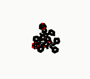 Cc1cc2c(cc1[Si](Cc1ccccc1)(Cc1ccccc1)Cc1ccccc1)-c1cc([Si](Cc3ccccc3)(Cc3ccccc3)Cc3ccccc3)c(C)cc1[Si](c1ccccc1)(c1ccccc1)[Si]2(c1ccccc1)c1ccccc1